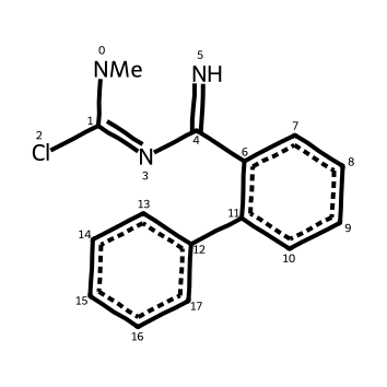 CN/C(Cl)=N\C(=N)c1ccccc1-c1ccccc1